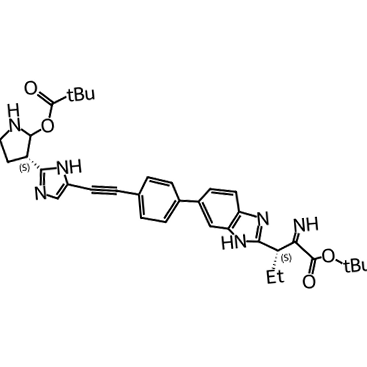 CC[C@@H](C(=N)C(=O)OC(C)(C)C)c1nc2ccc(-c3ccc(C#Cc4cnc([C@@H]5CCNC5OC(=O)C(C)(C)C)[nH]4)cc3)cc2[nH]1